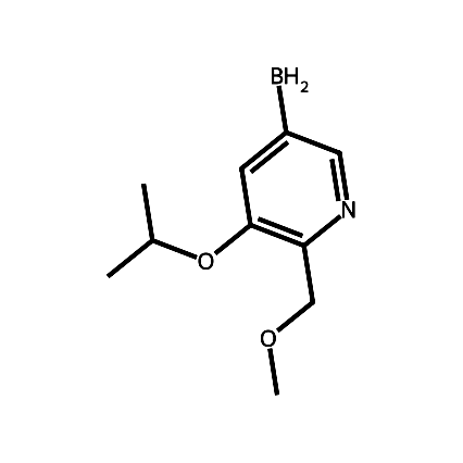 Bc1cnc(COC)c(OC(C)C)c1